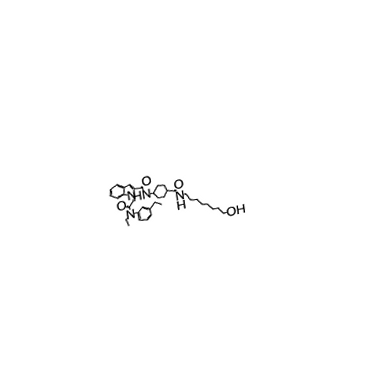 CCc1cccc(N(CC)C(=O)Cn2c(C(=O)NC3CCC(C(=O)NCCCCCCCCO)CC3)cc3ccccc32)c1